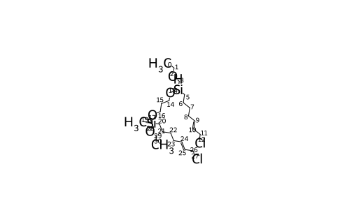 CCOC[SiH](CCCCC=CCCl)OCCCO[Si](C)(CCCCC=CCCl)OCC